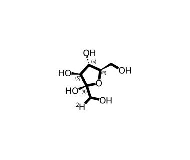 [2H]C(O)[C@@]1(O)O[C@H](CO)[C@@H](O)[C@@H]1O